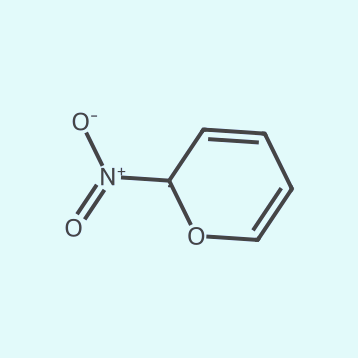 O=[N+]([O-])[C]1C=CC=CO1